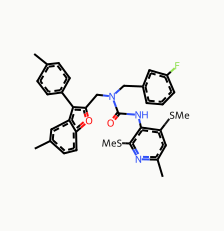 CSc1cc(C)nc(SC)c1NC(=O)N(Cc1cccc(F)c1)Cc1oc2ccc(C)cc2c1-c1ccc(C)cc1